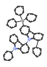 c1ccc(-c2cccc3c4cc([Si](c5ccccc5)(c5ccccc5)c5ccccc5)ccc4n(-c4cccc5c4c4ccccc4n5-c4ccccc4)c23)cc1